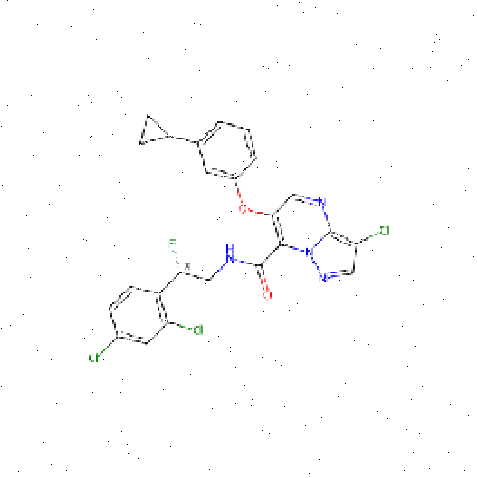 O=C(NC[C@@H](F)c1ccc(Cl)cc1Cl)c1c(Oc2cccc(C3CC3)c2)cnc2c(Cl)cnn12